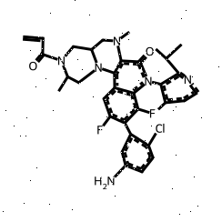 C=CC(=O)N1CC2CN(C)c3c(c4cc(F)c(-c5cc(N)ccc5Cl)c(F)c4n(-c4c(C)ccnc4C(C)C)c3=O)N2CC1C